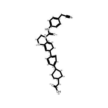 N#CCc1ccc(NC(=O)N2CCOC3=CC(c4ccc(C5CCC(CC(=O)O)CC5)cc4)CC=C32)cc1